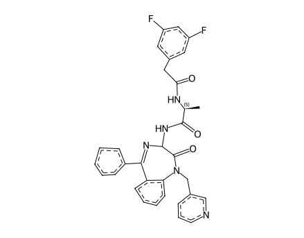 C[C@H](NC(=O)Cc1cc(F)cc(F)c1)C(=O)NC1N=C(c2ccccc2)c2ccccc2N(Cc2cccnc2)C1=O